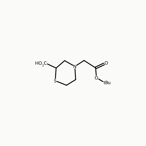 CC(C)(C)OC(=O)CN1CCSC(C(=O)O)C1